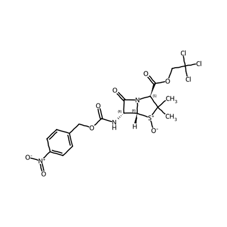 CC1(C)[C@H](C(=O)OCC(Cl)(Cl)Cl)N2C(=O)[C@@H](NC(=O)OCc3ccc([N+](=O)[O-])cc3)[C@H]2[S+]1[O-]